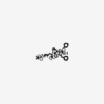 COC(=O)C(CCCCNC(=O)OC(C)(C)C)NC(=O)C(CC(C)C)NC(=O)C(Cc1ccccc1)NC(=O)OCc1ccccc1